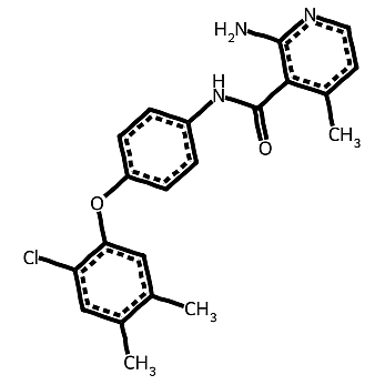 Cc1cc(Cl)c(Oc2ccc(NC(=O)c3c(C)ccnc3N)cc2)cc1C